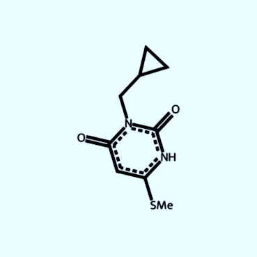 CSc1cc(=O)n(CC2CC2)c(=O)[nH]1